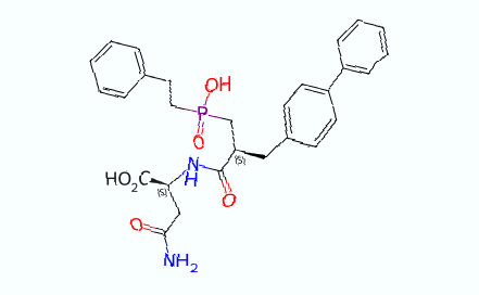 NC(=O)C[C@H](NC(=O)[C@H](Cc1ccc(-c2ccccc2)cc1)CP(=O)(O)CCc1ccccc1)C(=O)O